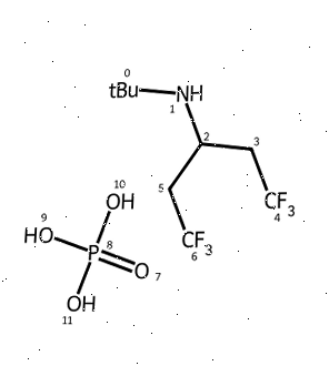 CC(C)(C)NC(CC(F)(F)F)CC(F)(F)F.O=P(O)(O)O